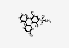 NS(=O)(=O)c1cc(F)c(-c2ncccc2-c2ccc(Br)cc2)cc1F